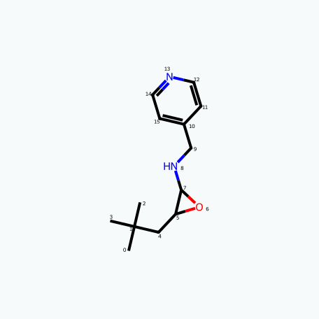 CC(C)(C)CC1OC1NCc1ccncc1